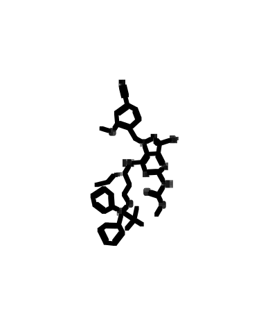 CCC[C@@H](CCO[Si](c1ccccc1)(c1ccccc1)C(C)(C)C)Nc1nc(NC(=O)OC)nc2c(Br)nn(Cc3ccc(C#N)cc3OC)c12